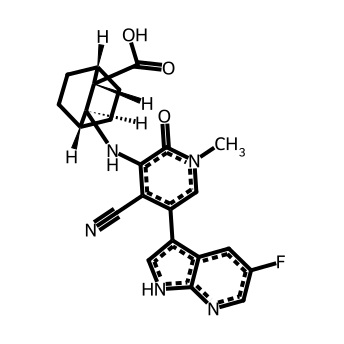 Cn1cc(-c2c[nH]c3ncc(F)cc23)c(C#N)c(N[C@H]2[C@H]3CC[C@H](CC3)[C@@H]2C(=O)O)c1=O